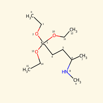 CCO[Si](CCC(C)NC)(OCC)OCC